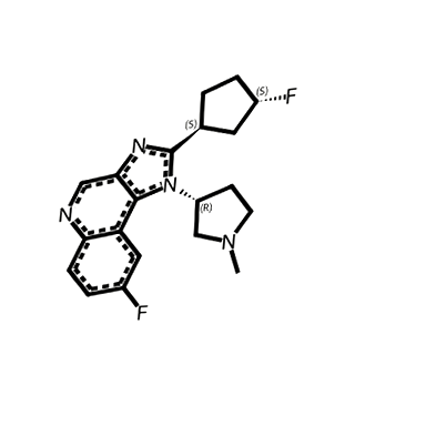 CN1CC[C@@H](n2c([C@H]3CC[C@H](F)C3)nc3cnc4ccc(F)cc4c32)C1